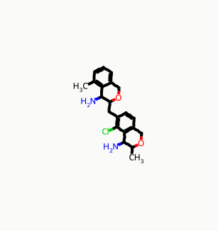 Cc1cccc2c1C(N)C(Cc1ccc3c(c1Cl)C(N)C(C)OC3)OC2